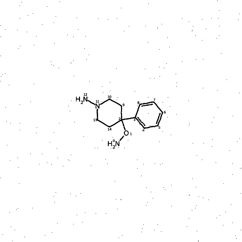 NOC1(c2ccccc2)CCN(N)CC1